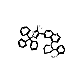 CSc1ccccc1C1C[CH]CCN1c1ccnc2ccc(-c3cn(C(c4ccccc4)(c4ccccc4)c4ccccc4)nc3C(F)(F)F)cc12